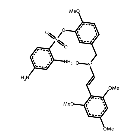 COc1cc(OC)c(/C=C/[S+]([O-])Cc2ccc(OC)c(OS(=O)(=O)c3ccc(N)cc3N)c2)c(OC)c1